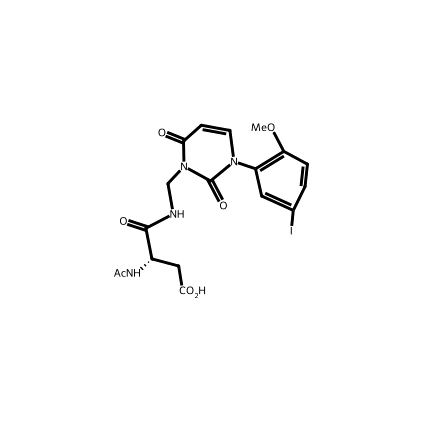 COc1ccc(I)cc1-n1ccc(=O)n(CNC(=O)[C@H](CC(=O)O)NC(C)=O)c1=O